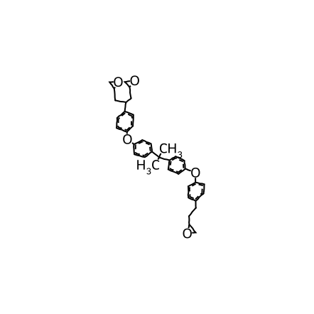 CC(C)(c1ccc(Oc2ccc(CCC3CO3)cc2)cc1)c1ccc(Oc2ccc(C(CC3CO3)CC3CO3)cc2)cc1